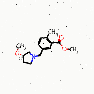 COC(=O)c1cc(CN2CC[C@H](OC)C2)ccc1C